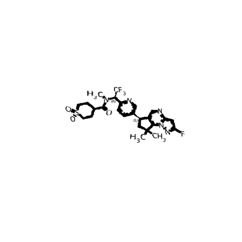 CN(C(=O)C1CCS(=O)(=O)CC1)[C@H](c1ccc([C@@H]2CC(C)(C)c3c2cnc2cc(F)nn32)cn1)C(F)(F)F